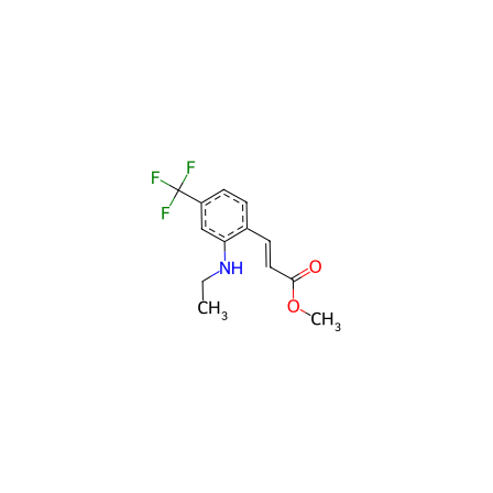 CCNc1cc(C(F)(F)F)ccc1C=CC(=O)OC